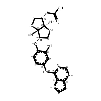 O=C(O)C[C@H]1CO[C@@H]2[C@@H]1OC[C@@H]2Oc1ccc(Nc2ncnc3ccsc23)cc1Cl